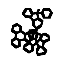 CC1(c2ccccc2)c2ccccc2-c2cc(N(c3ccc4c5ccccc5c5ccccc5c4c3)c3cccc4c3C3(c5ccccc5-c5ccccc53)c3ccccc3-4)ccc21